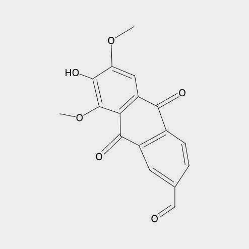 COc1cc2c(c(OC)c1O)C(=O)c1cc(C=O)ccc1C2=O